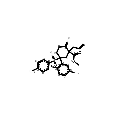 C=CCC1(C(=O)OC)CC(c2cc(F)ccc2F)(S(=O)(=O)c2ccc(Cl)cc2)CCC1=O